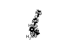 NC1=N[C@@](c2cc(NC(=O)c3cnc(OCc4ncco4)cn3)ccc2F)(C(F)F)[C@H]2C[C@H]2O1